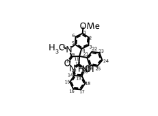 COc1ccc2c(c1)N(C)C(=O)C2(c1nc2ccccc2[nH]1)c1ccccc1O